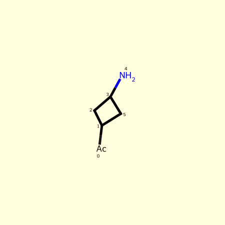 CC(=O)C1CC(N)C1